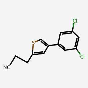 N#CCCc1cc(-c2cc(Cl)cc(Cl)c2)cs1